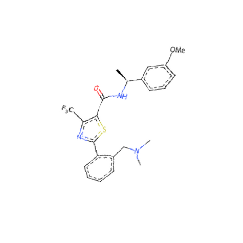 COc1cccc([C@H](C)NC(=O)c2sc(-c3ccccc3CN(C)C)nc2C(F)(F)F)c1